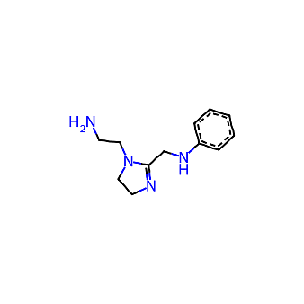 NCCN1CCN=C1CNc1ccccc1